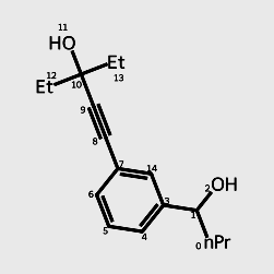 CCCC(O)c1cccc(C#CC(O)(CC)CC)c1